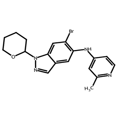 Cc1cc(Nc2cc3cnn(C4CCCCO4)c3cc2Br)ccn1